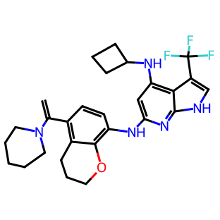 C=C(c1ccc(Nc2cc(NC3CCC3)c3c(C(F)(F)F)c[nH]c3n2)c2c1CCCO2)N1CCCCC1